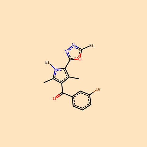 CCc1nnc(-c2c(C)c(C(=O)c3cccc(Br)c3)c(C)n2CC)o1